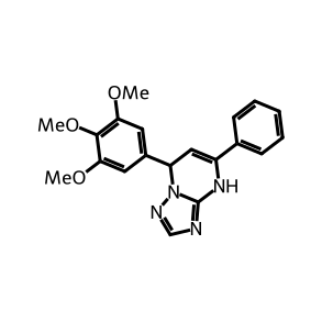 COc1cc(C2C=C(c3ccccc3)Nc3ncnn32)cc(OC)c1OC